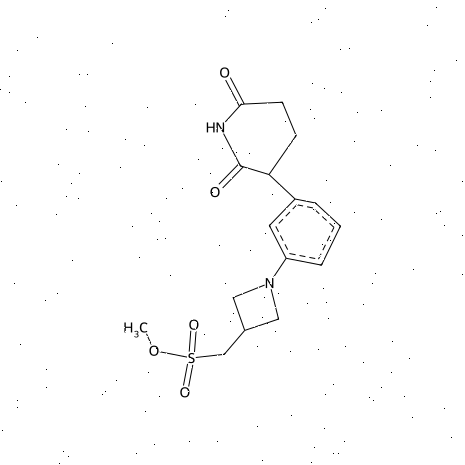 COS(=O)(=O)CC1CN(c2cccc(C3CCC(=O)NC3=O)c2)C1